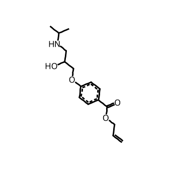 C=CCOC(=O)c1ccc(OCC(O)CNC(C)C)cc1